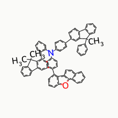 CC1(C)c2ccccc2-c2cccc(-c3ccccc3N(c3ccc(-c4ccc5c(c4)C(C)(c4ccccc4)c4ccccc4-5)cc3)c3ccc(-c4cccc5oc6c7ccccc7ccc6c45)cc3)c21